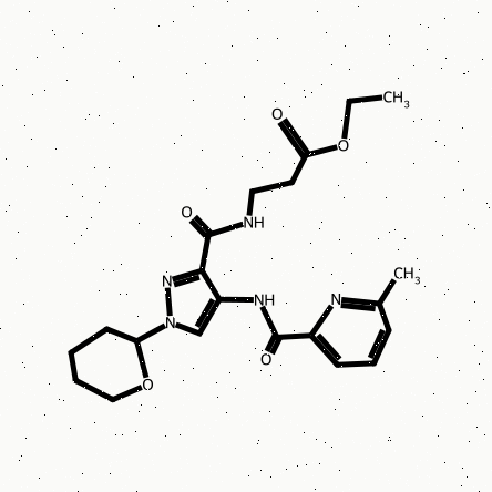 CCOC(=O)CCNC(=O)c1nn(C2CCCCO2)cc1NC(=O)c1cccc(C)n1